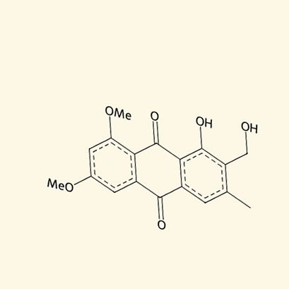 COc1cc(OC)c2c(c1)C(=O)c1cc(C)c(CO)c(O)c1C2=O